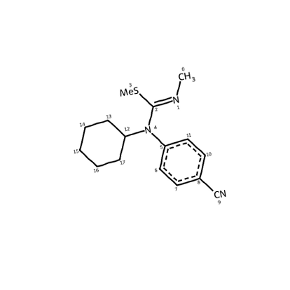 CN=C(SC)N(c1ccc(C#N)cc1)C1CCCCC1